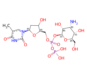 Cc1cn([C@H]2CC(O)[C@@H](COP(=O)(O[C@@H]3O[C@H](CO)[C@@H](O)[C@@H](N)[C@H]3O)OP(=O)(O)O)O2)c(=O)[nH]c1=O